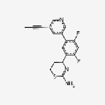 CC#Cc1cncc(-c2cc(C3CCSC(N)=N3)c(F)cc2F)c1